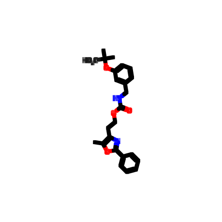 Cc1oc(-c2ccccc2)nc1CCOC(=O)NCc1cccc(OC(C)(C)C(=O)O)c1